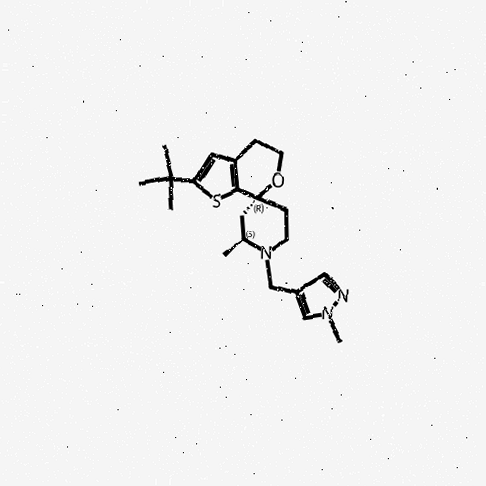 C[C@H]1C[C@@]2(CCN1Cc1cnn(C)c1)OCCc1cc(C(C)(C)C)sc12